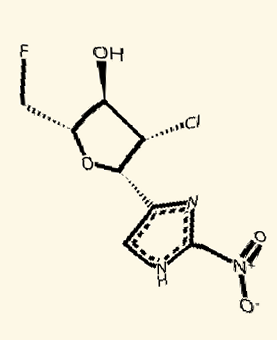 O=[N+]([O-])c1nc([C@@H]2O[C@H](CF)[C@@H](O)[C@@H]2Cl)c[nH]1